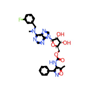 Cc1onc(-c2ccccc2)c1NC(=O)OC[C@H]1O[C@@H](n2cnc3c(N(C)Cc4cccc(F)c4)ncnc32)[C@H](O)[C@@H]1O